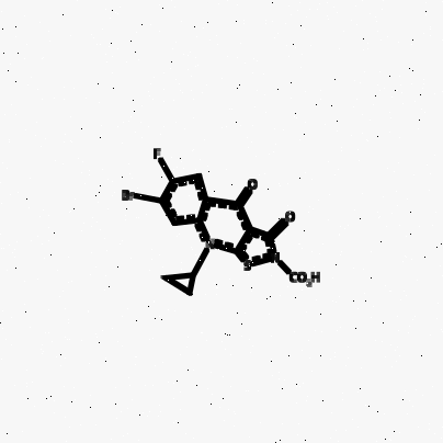 O=C(O)n1sc2c(c(=O)c3cc(F)c(Br)cc3n2C2CC2)c1=O